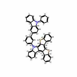 c1ccc(-n2c3ccccc3c3cc(-c4cccc(-n5c6ccccc6c6c7c8ccccc8sc7c7c8ccccc8sc7c65)c4)ccc32)cc1